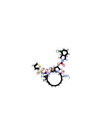 N[C@H]1CCCCC/C=C\[C@@H]2C[C@@]2(C(=O)NS(=O)(=O)c2cccs2)NC(=O)[C@@H]2C[C@@H](OC(=O)N3Cc4cccc(Cl)c4C3)CN2C1=O